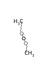 CCCCCCCC1CC=C(c2ccc(C3CCC(CCCCC)CC3)cc2)CC1